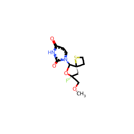 COC[C@]1(F)C[C@]2(CCS2)C(n2ccc(=O)[nH]c2=O)O1